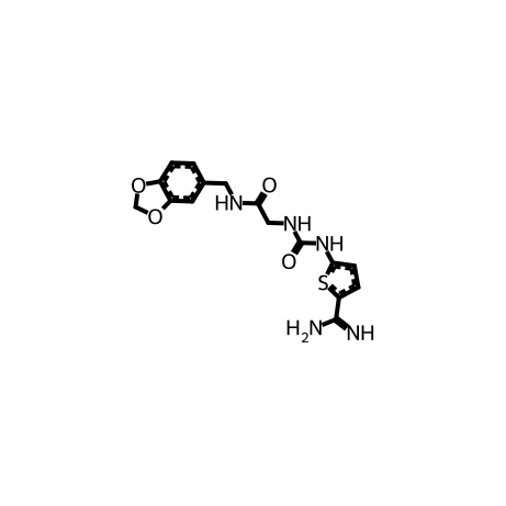 N=C(N)c1ccc(NC(=O)NCC(=O)NCc2ccc3c(c2)OCO3)s1